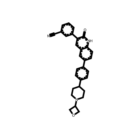 N#Cc1cccc(-c2cc3cc(-c4ccc(C5CCN(C6COC6)CC5)cc4)ccc3[nH]c2=O)c1